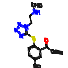 COC(=O)c1cc([N+](=O)[O-])ccc1Sc1nnnn1CCNC=O